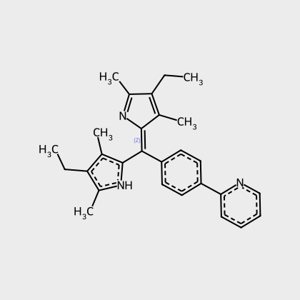 CCC1=C(C)/C(=C(\c2ccc(-c3ccccn3)cc2)c2[nH]c(C)c(CC)c2C)N=C1C